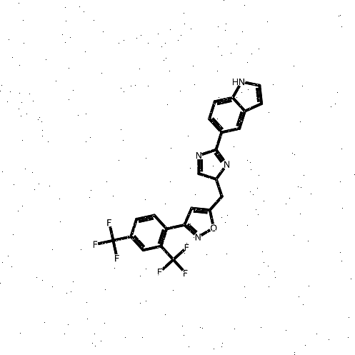 FC(F)(F)c1ccc(-c2cc(CC3C=NC(c4ccc5[nH]ccc5c4)=N3)on2)c(C(F)(F)F)c1